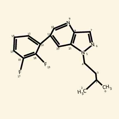 CC(C)CCn1ncc2ncc(-c3cccc(F)c3F)cc21